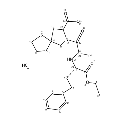 CCOC(=O)[C@H](CCc1ccccc1)N[C@@H](C)C(=O)N1CC2(CC1C(=O)O)SCCS2.Cl